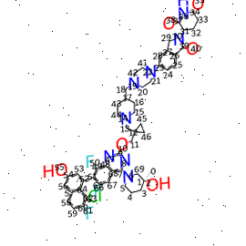 C[C@]1(O)CCCN(c2nc(OCC3(CN4CCC(CN5CCN(c6ccc7c(c6)CN([C@H]6CCC(=O)NC6=O)C7=O)CC5)CC4)CC3)nc3c(F)c(-c4cc(O)cc5ccc(F)c(Cl)c45)c(F)cc23)C1